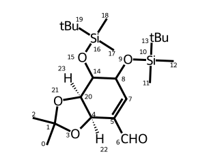 CC1(C)O[C@@H]2C(C=O)=CC(O[Si](C)(C)C(C)(C)C)C(O[Si](C)(C)C(C)(C)C)[C@@H]2O1